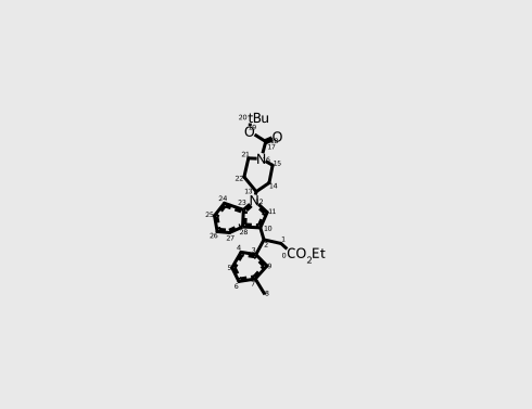 CCOC(=O)CC(c1cccc(C)c1)c1cn(C2CCN(C(=O)OC(C)(C)C)CC2)c2ccccc12